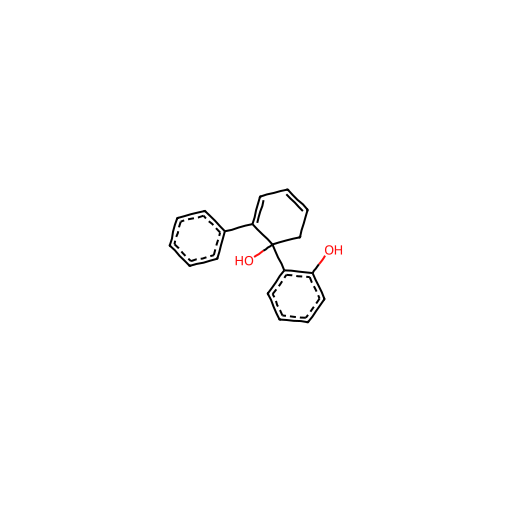 Oc1ccccc1C1(O)CC=CC=C1c1ccccc1